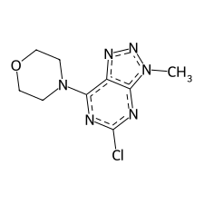 Cn1nnc2c(N3CCOCC3)nc(Cl)nc21